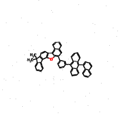 CC1(C)c2ccccc2-c2c1ccc1c2oc2c(-c3cccc(-c4c5ccccc5c(-c5cccc6ccccc56)c5ccccc45)c3)cc3ccccc3c21